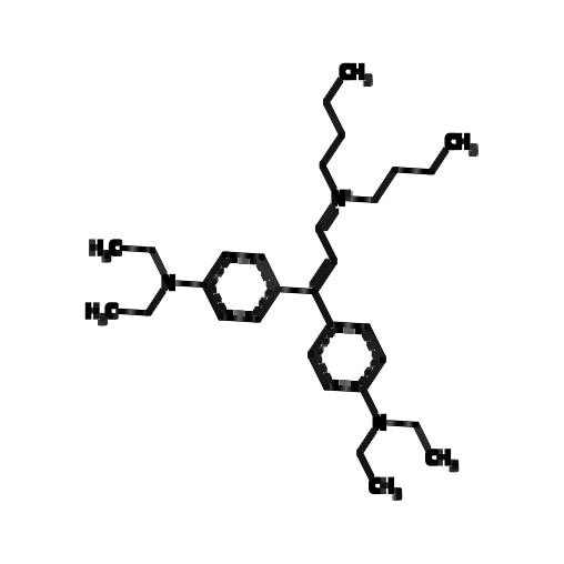 CCCC[N+](=CC=C(c1ccc(N(CC)CC)cc1)c1ccc(N(CC)CC)cc1)CCCC